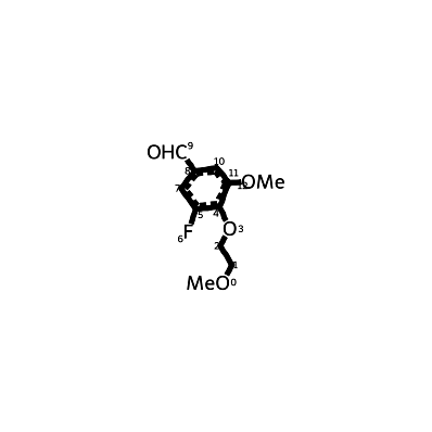 COCCOc1c(F)cc(C=O)cc1OC